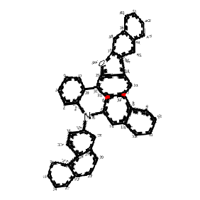 c1ccc(N(c2ccc3ccccc3c2)c2ccc3c(ccc4ccccc43)c2)c(-c2cccc3c2oc2cc4ccccc4cc23)c1